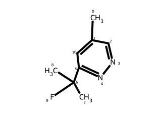 Cc1cnnc(C(C)(C)F)c1